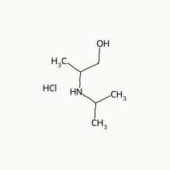 CC(C)NC(C)CO.Cl